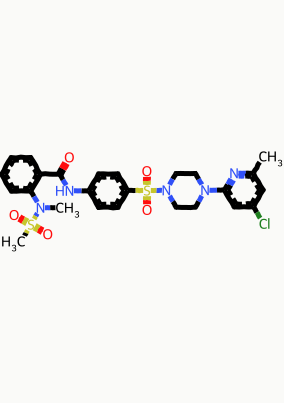 Cc1cc(Cl)cc(N2CCN(S(=O)(=O)c3ccc(NC(=O)c4ccccc4N(C)S(C)(=O)=O)cc3)CC2)n1